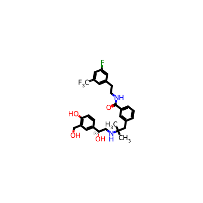 CC(C)(Cc1cccc(C(=O)NCCc2cc(F)cc(C(F)(F)F)c2)c1)NC[C@H](O)c1ccc(O)c(CO)c1